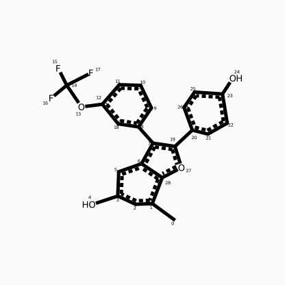 Cc1cc(O)cc2c(-c3cccc(OC(F)(F)F)c3)c(-c3ccc(O)cc3)oc12